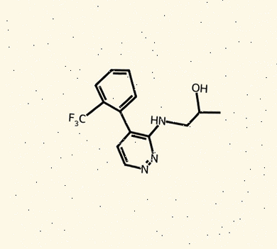 CC(O)CNc1nnccc1-c1ccccc1C(F)(F)F